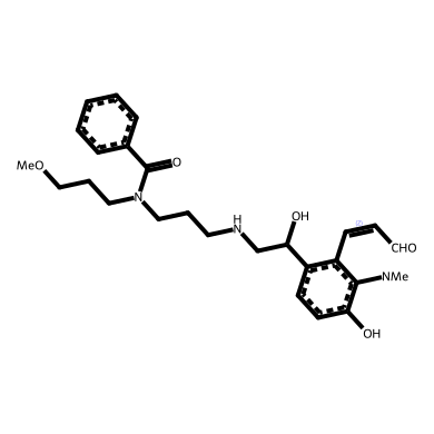 CNc1c(O)ccc(C(O)CNCCCN(CCCOC)C(=O)c2ccccc2)c1/C=C\C=O